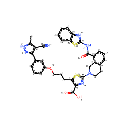 Cc1[nH]nc(-c2cccc(OCCCc3sc(N4CCc5cccc(C(=O)Nc6nc7ccccc7s6)c5C4)nc3C(=O)O)c2)c1C#N